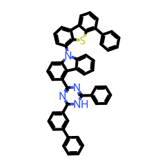 c1ccc(C2=NC(c3cccc4c3c3ccccc3n4-c3cccc4c3sc3c(-c5ccccc5)cccc34)=NC(c3cccc(-c4ccccc4)c3)N2)cc1